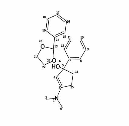 CN(C)C1=CC(O)(c2ccccc2C2(c3ccccc3)OCCO2)CC1